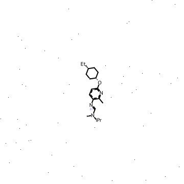 CC[C@H]1CC[C@H](Oc2ccc(/N=C/N(C)C(C)C)c(C)n2)CC1